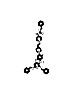 O=C(NC1CCN(CCC2CCN(c3cc(F)c(Nc4ccc(OCc5ccccc5)nc4OCc4ccccc4)cc3F)CC2)CC1)OCc1ccccc1